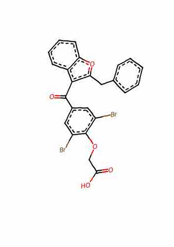 O=C(O)COc1c(Br)cc(C(=O)c2c(Cc3ccccc3)oc3ccccc23)cc1Br